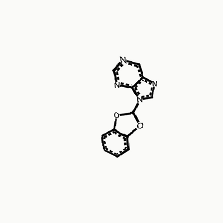 c1ccc2c(c1)OC(n1cnc3cncnc31)O2